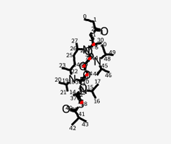 CCC(=O)SCOCCOP(N(C(C)C)C(C)C)N(C(C)C)C(C)CCC(C)N(C(C)C)P(OCCOCSC(=O)C(C)C)N(C(C)C)C(C)C